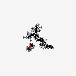 CCn1c(CN(C=O)c2nc3cn[nH]c3nc2N)[n+](CC)c2ccc(C(=O)N3CCC(N(C[C@H](O)[C@@H](O)[C@H](O)[C@H](O)CO)C[C@H](O)[C@@H](O)[C@H](O)[C@H](O)CO)CC3)cc21.O=C(O)C(F)(F)F.O=C([O-])C(F)(F)F